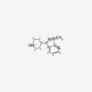 Cn1nc(C2CCNCC2)c2cccnc21